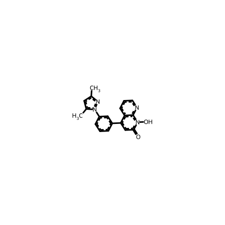 Cc1cc(C)n(-c2cccc(-c3cc(=O)n(O)c4ncccc34)c2)n1